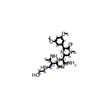 COc1cc(OC)cc(-c2nc(-c3nc(/C(=C/NCCO)C(C)=N)cnc3N)cn(C)c2=O)c1